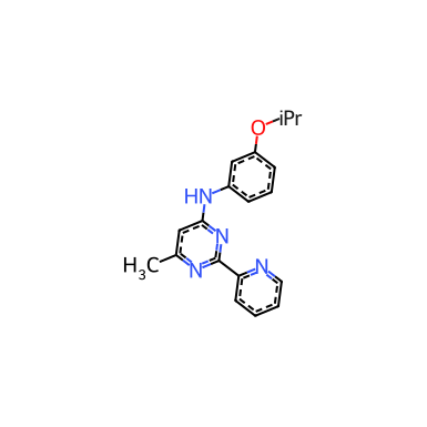 Cc1cc(Nc2cccc(OC(C)C)c2)nc(-c2ccccn2)n1